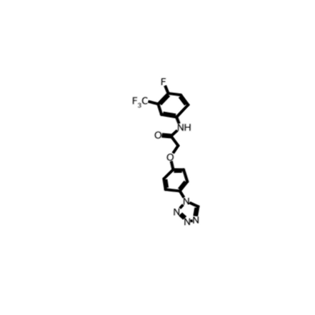 O=C(COc1ccc(-n2cnnn2)cc1)Nc1ccc(F)c(C(F)(F)F)c1